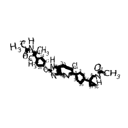 CC(=O)NCC1(c2ccc(-c3nc4nc(Oc5ccc(C(C)(C)NC(C)=O)cc5)[nH]c4cc3Cl)cc2)CC1